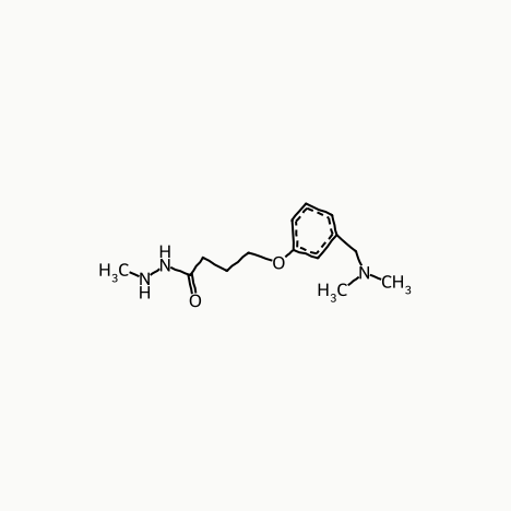 CNNC(=O)CCCOc1cccc(CN(C)C)c1